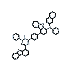 c1ccc(C2N=C(c3cccc4c3sc3ccccc34)N=C(c3ccc(-c4ccc(N(c5ccccc5)c5ccc6ccccc6c5)c5oc6ccccc6c45)cc3)N2)cc1